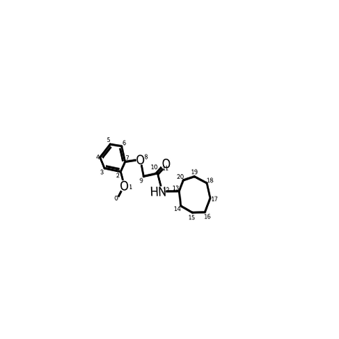 COc1ccccc1OCC(=O)NC1CCCCCCC1